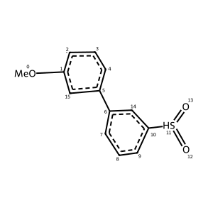 COc1[c]ccc(-c2cccc([SH](=O)=O)c2)c1